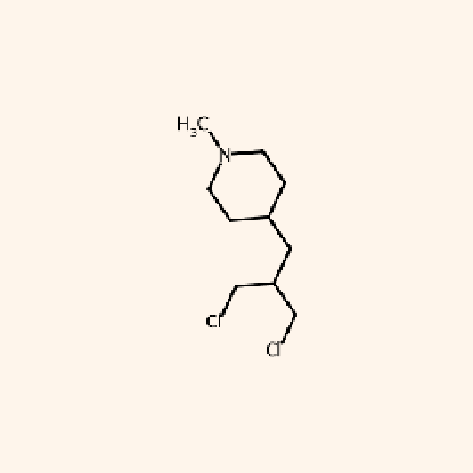 CN1CCC(CC(CCl)CCl)CC1